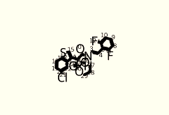 O=C(NC=Cc1c(F)cccc1F)C(c1csc2ccc(Cl)cc12)P1(=O)OCCCO1